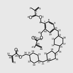 C=C(C)C(=O)OCc1ccc(CC2CCC(CC3CCC(CC4CCC(COC(=O)C(=C)C)CC4)CC3)CC2)cc1COC(=O)C(=C)C